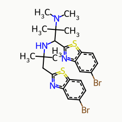 CN(C)C(C)(C)C(NC(C)(C)Cc1nc2cc(Br)ccc2s1)c1nc2cc(Br)ccc2s1